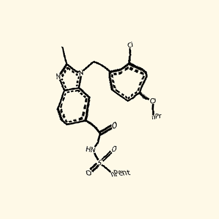 CCCCCS(=O)(=O)NC(=O)c1ccc2nc(C)n(Cc3ccc(OCCC)cc3Cl)c2c1